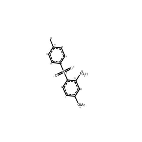 COc1ccc(S(=O)(=O)c2ccc(C)cc2)c(S(=O)(=O)O)c1